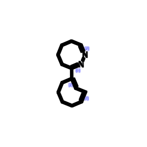 C1=C\CCCCC(/C2=N/N=C\CCCC2)=C/1